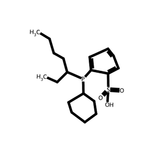 CCCCC(CC)P(c1ccccc1S(=O)(=O)O)C1CCCCC1